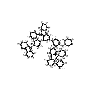 c1ccc(N(c2ccc(-c3cc(-c4ccc(-n5c6ccccc6c6ccccc65)cc4)c4c(c3)c3ccccc3n4-c3ccccc3)cc2)c2ccc3c(c2)C2(c4ccccc4-c4ccccc42)c2ccccc2-3)cc1